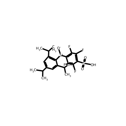 CC(C)c1cc(C(C)C)c([S+]([O-])c2c(F)c(F)c(S(=O)(=O)O)c(F)c2F)c(C(C)C)c1